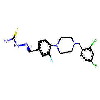 NC(=S)N/N=C/c1ccc(N2CCN(Cc3ccc(Cl)cc3Cl)CC2)c(F)c1